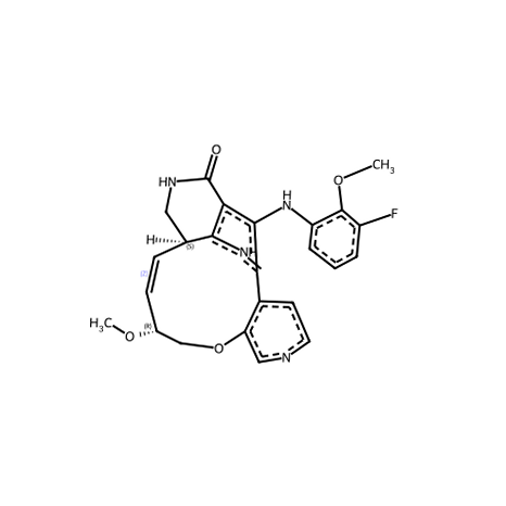 COc1c(F)cccc1Nc1c2[nH]c3c1C(=O)NC[C@@H]3/C=C\[C@@H](OC)COc1cnccc1-2